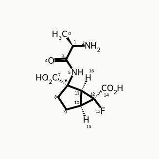 C[C@@H](N)C(=O)N[C@]1(C(=O)O)CC[C@H]2[C@@H]1[C@]2(F)C(=O)O